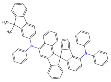 CC1(C)c2ccccc2-c2ccc(N(c3ccccc3)c3cc4c(c5ccccc35)C3(c5ccccc5-4)c4ccccc4-c4c(N(c5ccccc5)c5ccccc5)cccc43)cc21